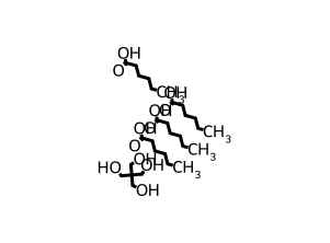 CCCCCC(=O)O.CCCCCC(=O)O.CCCCCC(=O)O.CCCCCC(=O)O.OCC(CO)(CO)CO